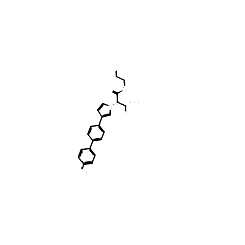 CCC[C@H](C(=O)O)[C@H](C(=O)N[C@H](CO)C(C)(C)C)n1ccc(-c2ccc(-c3ccc(C#N)cc3)cc2)c1